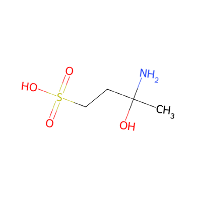 CC(N)(O)CCS(=O)(=O)O